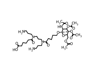 CC(=O)NC1C(OC(C)=O)[C@@H](OC(C)=O)C(COC(C)=O)O[C@H]1OCCCCC(=O)N(CCCN)CCCN(CCCN)C(=O)CCCCC(=O)O